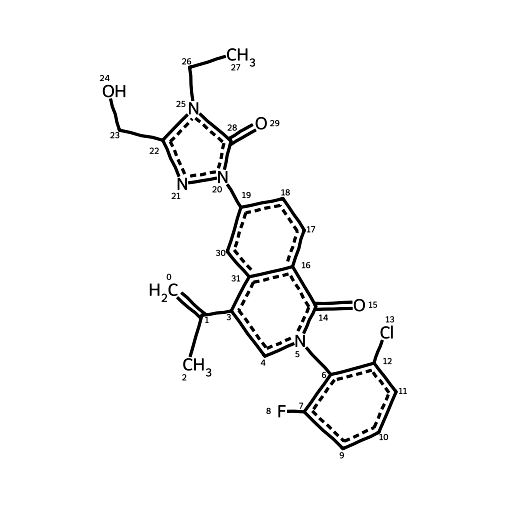 C=C(C)c1cn(-c2c(F)cccc2Cl)c(=O)c2ccc(-n3nc(CO)n(CC)c3=O)cc12